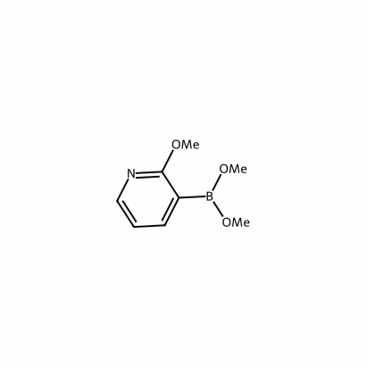 COB(OC)c1cccnc1OC